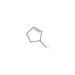 [CH2]C1C=CCC1